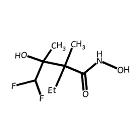 CCC(C)(C(=O)NO)C(C)(O)C(F)F